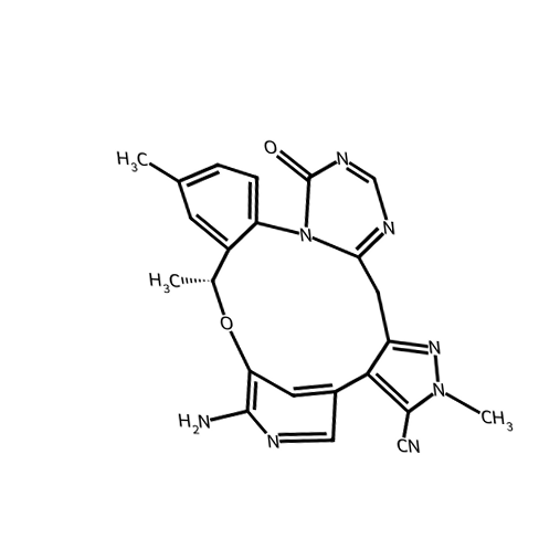 Cc1ccc2c(c1)[C@@H](C)Oc1cc(cnc1N)-c1c(nn(C)c1C#N)Cc1ncnc(=O)n1-2